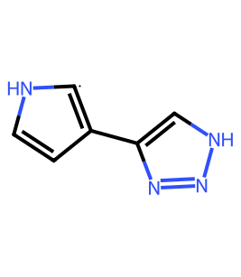 [c]1[nH]ccc1-c1c[nH]nn1